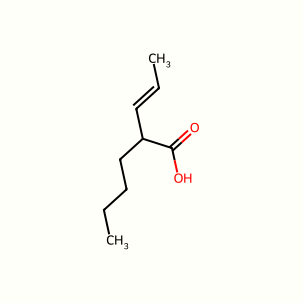 C/C=C/C(CCCC)C(=O)O